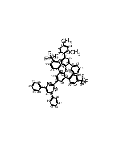 Cc1ccc(-c2ccc3c(c2)c2ccccc2n3-c2c(-c3ccc(C(F)(F)F)cc3)cc(-c3nc(-c4ccccc4)cc(-c4ccccc4)n3)cc2-c2ccc(C(F)(F)F)cc2)c(C)c1